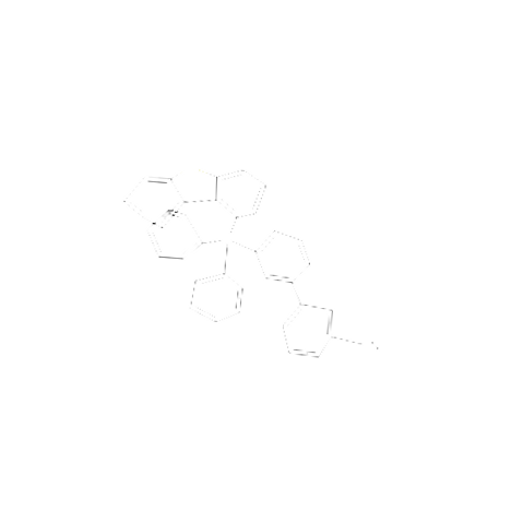 N#Cc1cccc(-c2cccc([Si](c3ccccc3)(c3ccccc3)c3cccc4sc5ccccc5c34)c2)c1